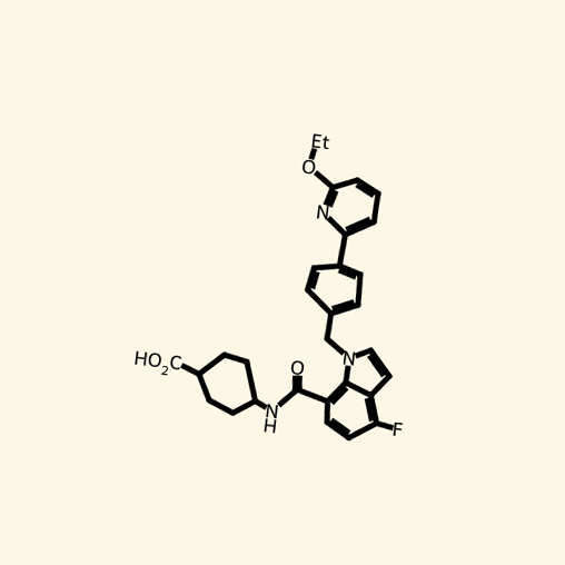 CCOc1cccc(-c2ccc(Cn3ccc4c(F)ccc(C(=O)NC5CCC(C(=O)O)CC5)c43)cc2)n1